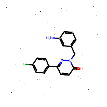 Nc1cccc(Cn2nc(-c3ccc(F)cc3)ccc2=O)c1